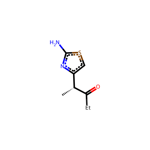 CCC(=O)[C@H](C)c1csc(N)n1